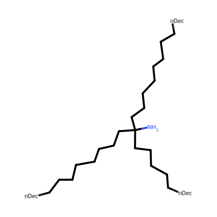 CCCCCCCCCCCCCCCCCCC(N)(CCCCCCCCCCCCCCC)CCCCCCCCCCCCCCCCCC